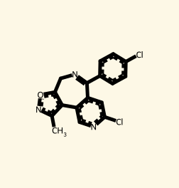 Cc1noc2c1-c1cnc(Cl)cc1C(c1ccc(Cl)cc1)=NC2